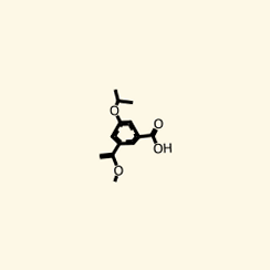 C=C(OC)c1cc(OC(C)C)cc(C(=O)O)c1